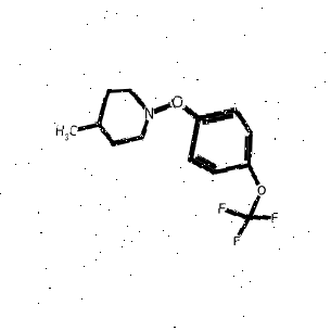 CC1CCN(Oc2ccc(OC(F)(F)F)cc2)CC1